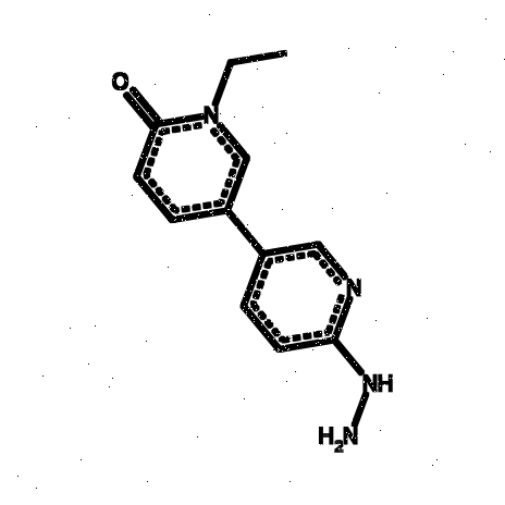 CCn1cc(-c2ccc(NN)nc2)ccc1=O